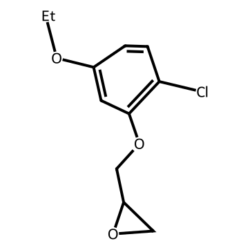 CCOc1ccc(Cl)c(OCC2CO2)c1